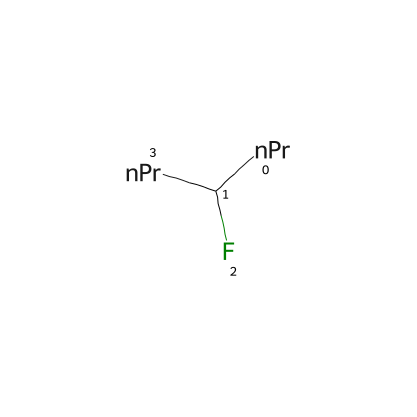 CCCC(F)CCC